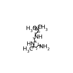 CC(CCN)NCCNCCN(C)C